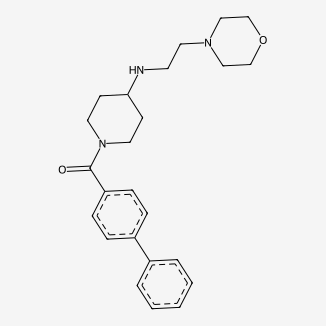 O=C(c1ccc(-c2ccccc2)cc1)N1CCC(NCCN2CCOCC2)CC1